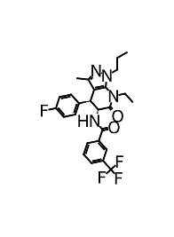 CCCn1nc(C)c2c1N(CC)C(=O)[C@H](NC(=O)c1cccc(C(F)(F)F)c1)[C@H]2c1ccc(F)cc1